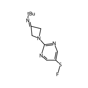 CC(C)(C)N=C1CN(c2ncc(SF)cn2)C1